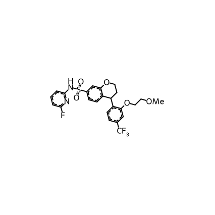 COCCOc1cc(C(F)(F)F)ccc1C1CCOc2cc(S(=O)(=O)Nc3cccc(F)n3)ccc21